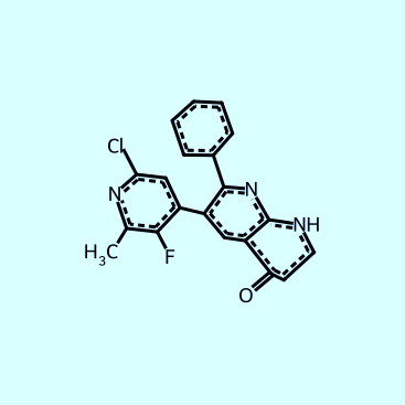 Cc1nc(Cl)cc(-c2cc3c(=O)cc[nH]c3nc2-c2ccccc2)c1F